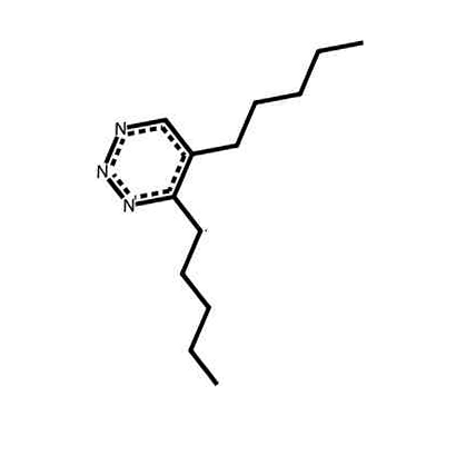 CCCC[CH]c1nnncc1CCCCC